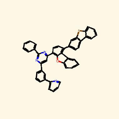 c1ccc(-c2nc(-c3cccc(-c4ccccn4)c3)cc(-c3ccc(-c4ccc5c(c4)sc4ccccc45)c4c3oc3ccccc34)n2)cc1